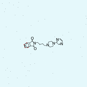 O=C1N(CCCCN2CCN(c3cnccn3)CC2)C(=O)C23C4C=CC(C4)C12C1C=CC3C1